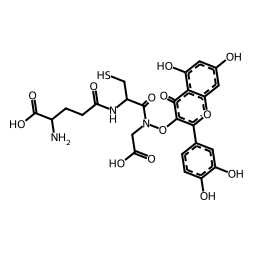 NC(CCC(=O)NC(CS)C(=O)N(CC(=O)O)Oc1c(-c2ccc(O)c(O)c2)oc2cc(O)cc(O)c2c1=O)C(=O)O